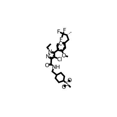 CCn1nc(C(=O)NCC2CCC(S(C)(=O)=O)CC2)c(Cl)c1-c1ccc(C[C@@H](C)C(F)(F)F)cc1OC